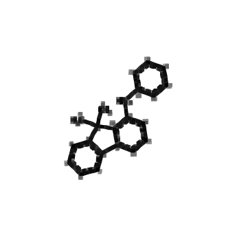 CC1(C)c2ccccc2-c2cccc(Nc3ccccc3)c21